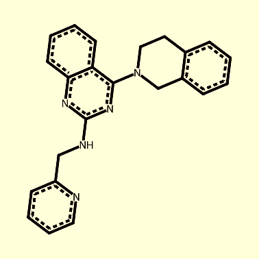 c1ccc(CNc2nc(N3CCc4ccccc4C3)c3ccccc3n2)nc1